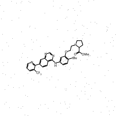 COC(=O)C1CCCN1CCOc1cc(Nc2ncnc3cc(-c4ncccc4C(F)(F)F)ccc23)ccc1C(C)(C)C